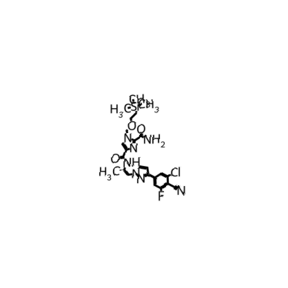 C[C@@H](Cn1ccc(-c2cc(F)c(C#N)c(Cl)c2)n1)NC(=O)c1cn(COCC[Si](C)(C)C)c(C(N)=O)n1